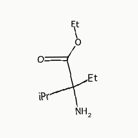 CCOC(=O)C(N)(CC)C(C)C